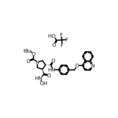 CC(C)(C)OC(=O)N1C[C@H](C(=O)NO)[C@@H](C(=O)Nc2ccc(COc3ccnc4ccccc34)cc2)C1.O=C(O)C(F)(F)F